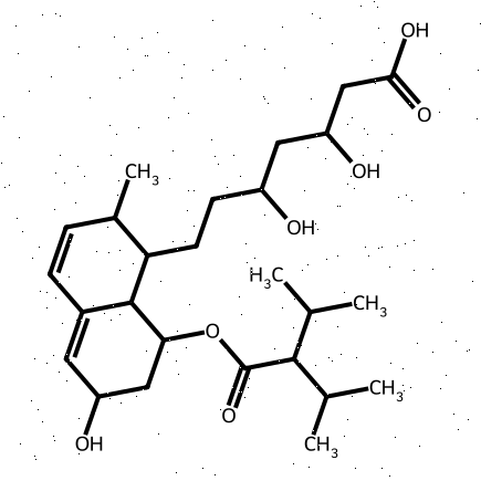 CC(C)C(C(=O)OC1CC(O)C=C2C=CC(C)C(CCC(O)CC(O)CC(=O)O)C21)C(C)C